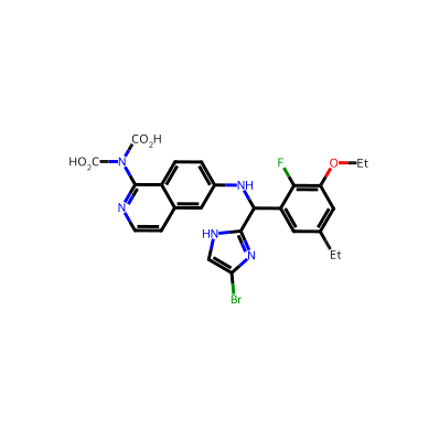 CCOc1cc(CC)cc(C(Nc2ccc3c(N(C(=O)O)C(=O)O)nccc3c2)c2nc(Br)c[nH]2)c1F